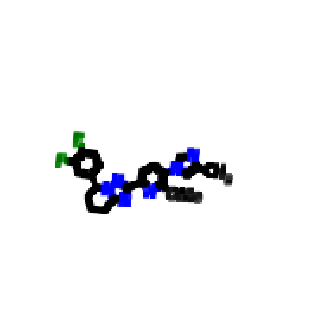 COc1nc(-c2nc3n(n2)[C@H](c2ccc(F)c(F)c2)CCC3)ccc1-n1cnc(C)c1